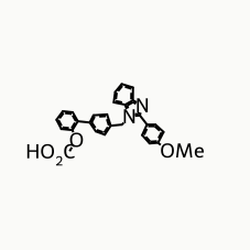 COc1ccc(-c2nc3ccccc3n2Cc2ccc(-c3ccccc3OC(=O)O)cc2)cc1